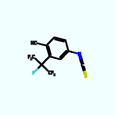 N#Cc1ccc(N=C=S)cc1C(F)(C(F)(F)F)C(F)(F)F